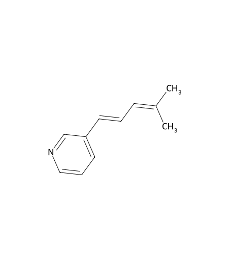 CC(C)=C/C=C/c1cccnc1